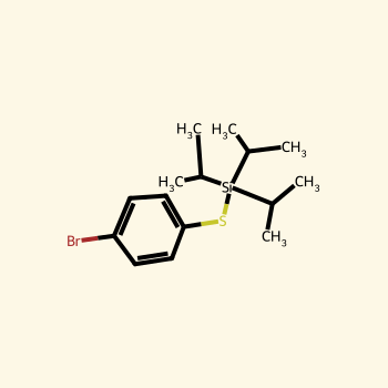 CC(C)[Si](Sc1ccc(Br)cc1)(C(C)C)C(C)C